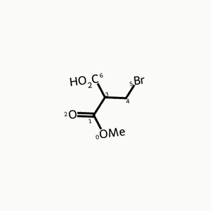 COC(=O)C(CBr)C(=O)O